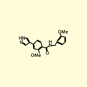 COc1cccc(CNC(=O)c2ccc(-c3cn[nH]c3)cc2OC)c1